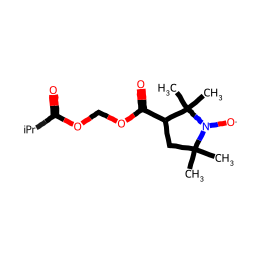 CC(C)C(=O)OCOC(=O)C1CC(C)(C)N([O])C1(C)C